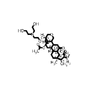 CC(=O)O[C@@H]1C[C@@]23COC[C@](C)([C@@H]2CC[C@H]2C3=CC(=O)[C@@]3(C)[C@H](C(=O)O)[C@@](C)([C@H](C)C(C)C)CC[C@]23C)[C@H]1OCCN(CCO)CCO